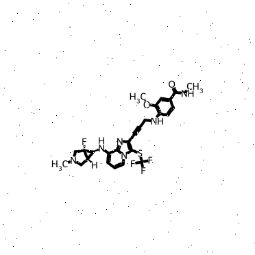 CNC(=O)c1ccc(NCC#Cc2nc3c(N[C@H]4[C@@H]5CN(C)C[C@@]54F)cccn3c2SC(F)(F)F)c(OC)c1